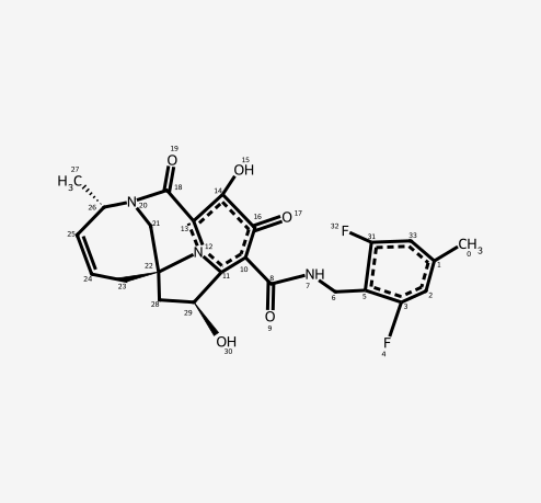 Cc1cc(F)c(CNC(=O)c2c3n4c(c(O)c2=O)C(=O)N2C[C@@]4(CC=C[C@@H]2C)C[C@@H]3O)c(F)c1